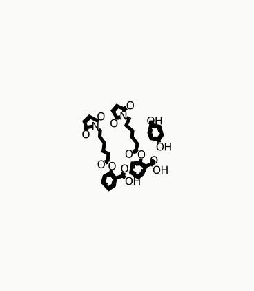 O=C(CCCCCN1C(=O)C=CC1=O)Oc1ccccc1C(=O)O.O=C(CCCCCN1C(=O)C=CC1=O)Oc1ccccc1C(=O)O.Oc1ccc(O)cc1